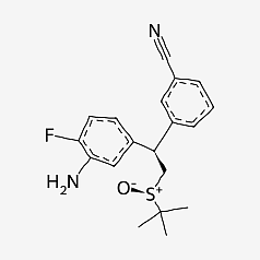 CC(C)(C)[S@@+]([O-])C[C@H](c1cccc(C#N)c1)c1ccc(F)c(N)c1